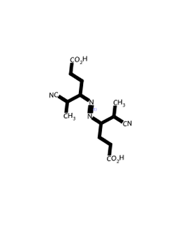 CC(C#N)C(CCC(=O)O)/N=N/C(CCC(=O)O)C(C)C#N